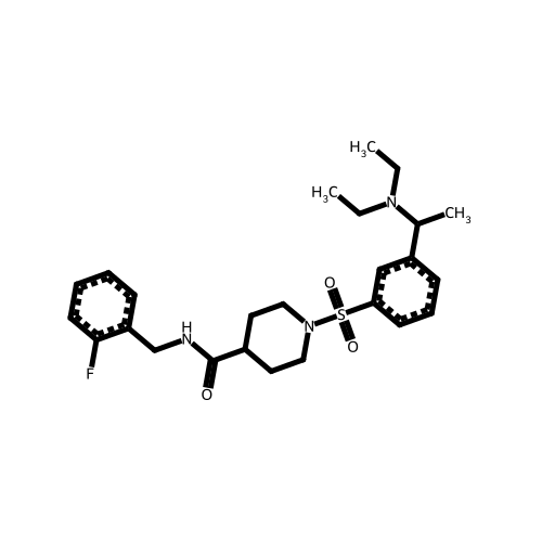 CCN(CC)C(C)c1cccc(S(=O)(=O)N2CCC(C(=O)NCc3ccccc3F)CC2)c1